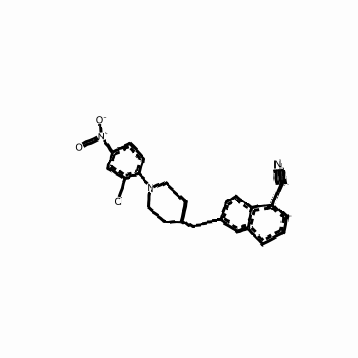 N#Cc1[c]ccc2cc(CC3CCN(c4ccc([N+](=O)[O-])cc4Cl)CC3)ccc12